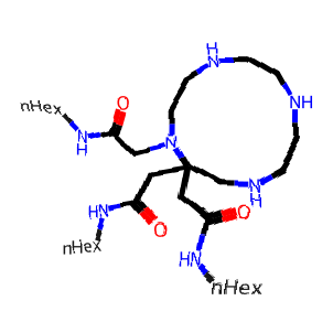 CCCCCCNC(=O)CN1CCNCCNCCNCC1(CC(=O)NCCCCCC)CC(=O)NCCCCCC